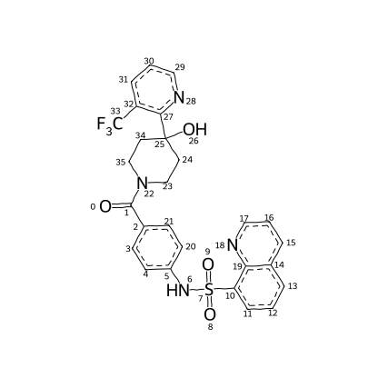 O=C(c1ccc(NS(=O)(=O)c2cccc3cccnc23)cc1)N1CCC(O)(c2ncccc2C(F)(F)F)CC1